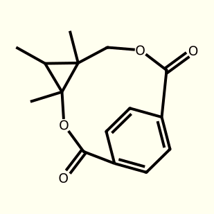 CC1C2(C)COC(=O)c3ccc(cc3)C(=O)OC12C